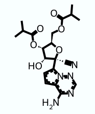 CC(C)C(=O)OC[C@H]1O[C@@](C#N)(c2ccc3c(N)ncnn23)[C@H](O)[C@@H]1OC(=O)C(C)C